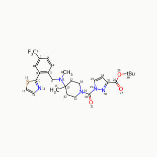 CN(Cc1ccc(C(F)(F)F)cc1-c1nccs1)C1(C)CCN(C(=O)n2ccc(C(=O)OC(C)(C)C)n2)CC1